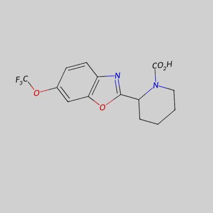 O=C(O)N1CCCCC1c1nc2ccc(OC(F)(F)F)cc2o1